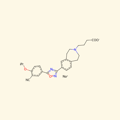 CC(C)Oc1ccc(-c2nc(-c3ccc4c(c3)CCN(CCCC(=O)[O-])CC4)no2)cc1C#N.[Na+]